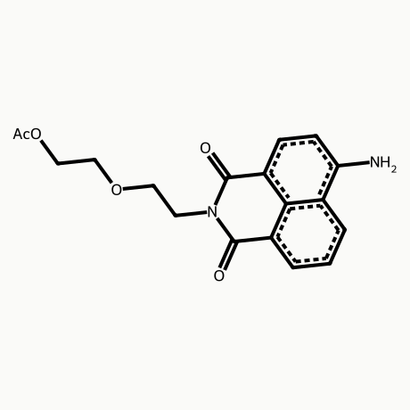 CC(=O)OCCOCCN1C(=O)c2cccc3c(N)ccc(c23)C1=O